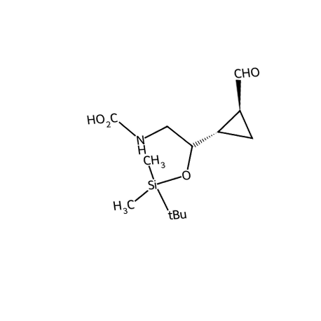 CC(C)(C)[Si](C)(C)OC(CNC(=O)O)[C@H]1C[C@@H]1C=O